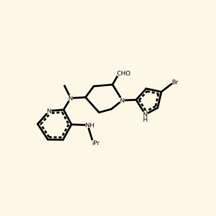 CC(C)Nc1cccnc1N(C)C1CCN(c2cc(Br)c[nH]2)C(C=O)C1